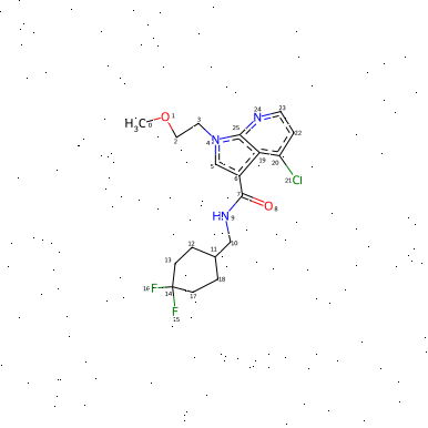 COCCn1cc(C(=O)NCC2CCC(F)(F)CC2)c2c(Cl)ccnc21